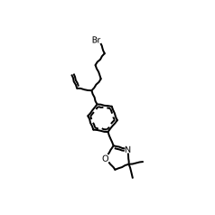 C=CC(CCCBr)c1ccc(C2=NC(C)(C)CO2)cc1